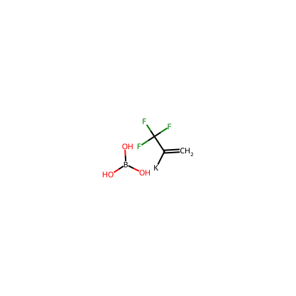 C=[C]([K])C(F)(F)F.OB(O)O